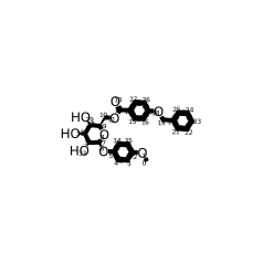 COc1ccc(O[C@@H]2O[C@H](COC(=O)c3ccc(OCc4ccccc4)cc3)[C@@H](O)[C@H](O)[C@H]2O)cc1